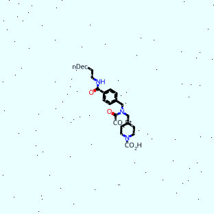 CCCCCCCCCCCCNC(=O)c1ccc(CN(CC2CCN(C(=O)O)CC2)C(=O)C(=O)OCC)cc1